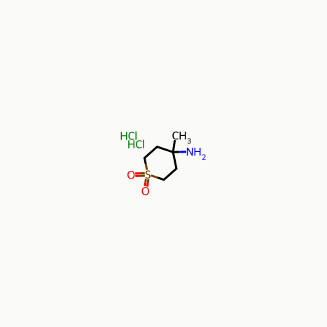 CC1(N)CCS(=O)(=O)CC1.Cl.Cl